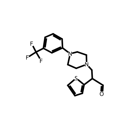 O=CC(CN1CCN(c2cccc(C(F)(F)F)c2)CC1)c1cccs1